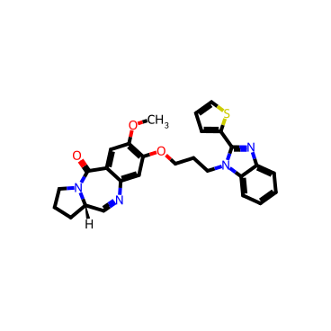 COc1cc2c(cc1OCCCn1c(-c3cccs3)nc3ccccc31)N=C[C@@H]1CCCN1C2=O